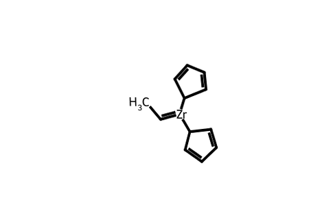 C[CH]=[Zr]([CH]1C=CC=C1)[CH]1C=CC=C1